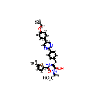 C[C@@H](NC(O)[C@H](Cc1ccc(-c2ncc(-c3ccc(OCC(C)(C)C)cc3)cn2)cc1)NC(=O)c1ccc(C(C)(C)C)s1)C(=O)O